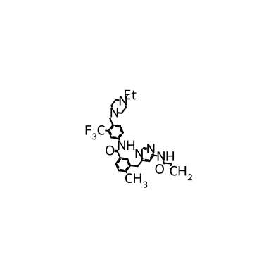 C=CC(=O)Nc1cc(Cc2cc(C(=O)Nc3ccc(CN4CCN(CC)CC4)c(C(F)(F)F)c3)ccc2C)ncn1